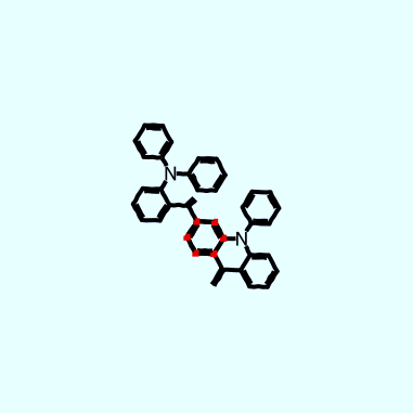 C=C(c1ccc(C(=C)c2ccccc2N(c2ccccc2)c2ccccc2)cc1)c1ccccc1N(c1ccccc1)c1ccccc1